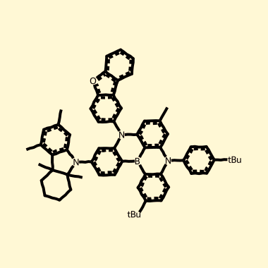 Cc1cc2c3c(c1)N(c1ccc4oc5ccccc5c4c1)c1cc(N4c5cc(C)cc(C)c5C5(C)CCCCC45C)ccc1B3c1cc(C(C)(C)C)ccc1N2c1ccc(C(C)(C)C)cc1